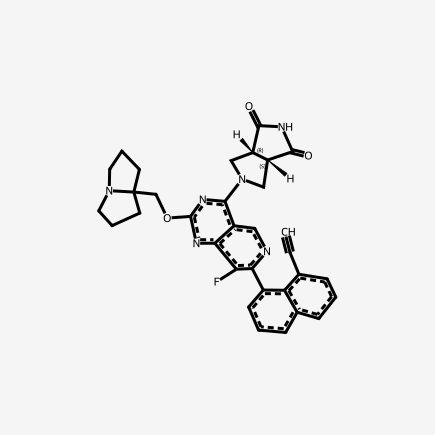 C#Cc1cccc2cccc(-c3ncc4c(N5C[C@@H]6C(=O)NC(=O)[C@@H]6C5)nc(OCC56CCCN5CCC6)nc4c3F)c12